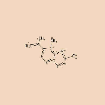 C=C(C)c1ccc2ccc(C)nc2c1C